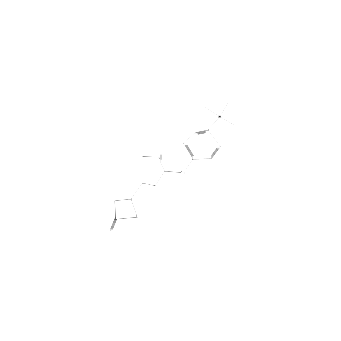 CNC(CCC1CC(=O)C1)Nc1ccc(C(C)(C)C)cc1